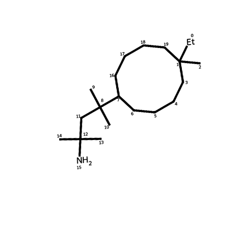 CCC1(C)CCCCC(C(C)(C)CC(C)(C)N)CCCC1